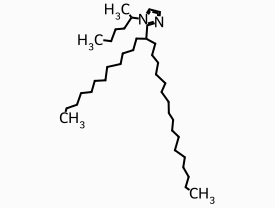 CCCCCCCCCCCCCCCCCC(CCCCCCCCCCCC)c1nccn1C(C)CCCC